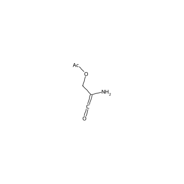 CC(=O)OCC(N)=C=O